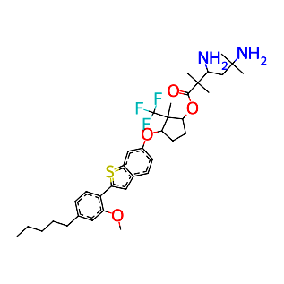 CCCCCc1ccc(-c2cc3ccc(OC4CCC(OC(=O)C(C)(C)C(N)CC(C)(C)N)C4(C)C(F)(F)F)cc3s2)c(OC)c1